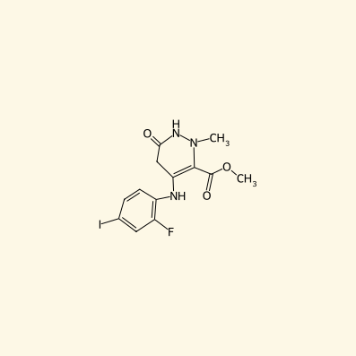 COC(=O)C1=C(Nc2ccc(I)cc2F)CC(=O)NN1C